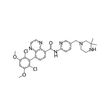 COc1cc(OC)c(Cl)c(-c2ccc(C(=O)Nc3ccc(CN4CCNC(C)(C)C4)cn3)c3nccnc23)c1Cl